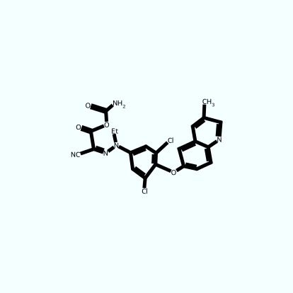 CCN(N=C(C#N)C(=O)OC(N)=O)c1cc(Cl)c(Oc2ccc3ncc(C)cc3c2)c(Cl)c1